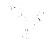 CC1(C)Cc2nc(N3CCOCC3Cc3cccc(Nc4cccc(NS(C)(=O)=O)c4)c3)sc2C(=O)N1.O=C(O)C(F)(F)F